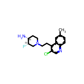 Cc1ccc2ncc(Cl)c(CCN3CC[C@@H](N)[C@@H](F)C3)c2c1